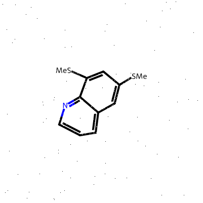 CSc1cc(SC)c2ncccc2c1